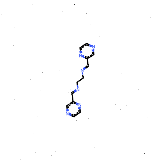 C(=NCCN=Cc1cnccn1)c1cnccn1